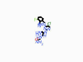 N#Cc1c(F)cccc1CNc1nc(N/C(C=N)=C/NCC(N)=O)ncc1Cl